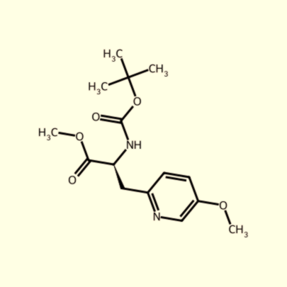 COC(=O)[C@H](Cc1ccc(OC)cn1)NC(=O)OC(C)(C)C